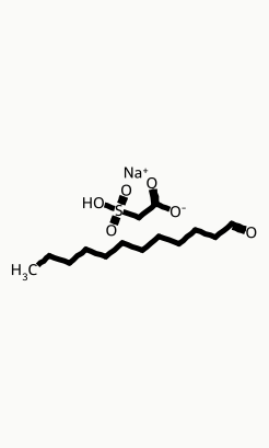 CCCCCCCCCCCC=O.O=C([O-])CS(=O)(=O)O.[Na+]